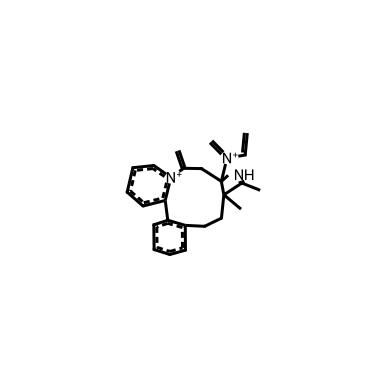 C=C[N+](=C)C1(C)CC(=C)[n+]2ccccc2-c2ccccc2CCC1(C)C(C)=N